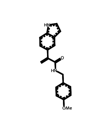 C=C(C(=O)NCc1ccc(OC)cc1)c1ccc2[nH]ccc2c1